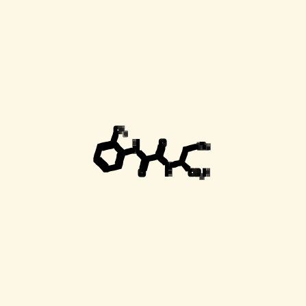 CC(C)(C)C[C@H](NC(=O)C(=O)Nc1ccccc1C(F)(F)F)C(=O)O